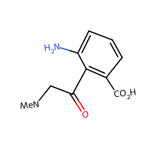 CNCC(=O)c1c(N)cccc1C(=O)O